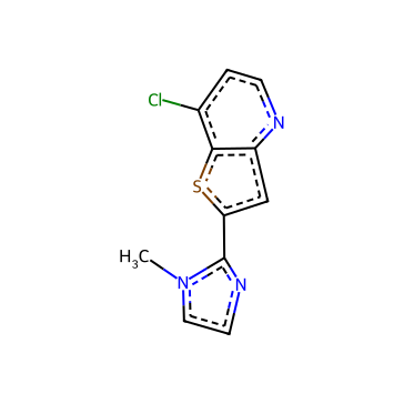 Cn1ccnc1-c1cc2nccc(Cl)c2s1